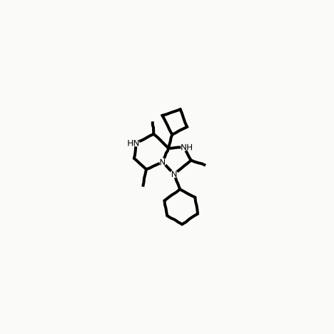 CC1NC2(C3CCC3)C(C)NCC(C)N2N1C1CCCCC1